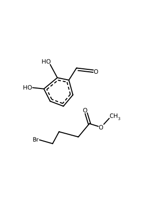 COC(=O)CCCBr.O=Cc1cccc(O)c1O